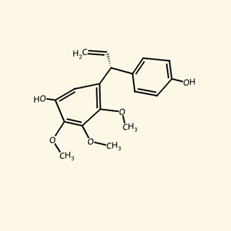 C=C[C@H](c1ccc(O)cc1)c1cc(O)c(OC)c(OC)c1OC